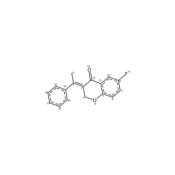 CC(=C1COc2ccc(F)cc2C1=O)c1ccccc1